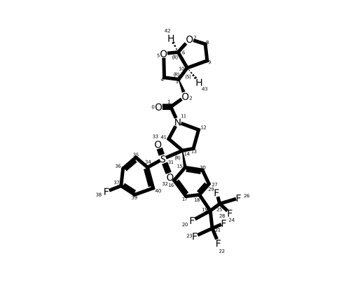 O=C(O[C@H]1CO[C@H]2OCC[C@H]21)N1CC[C@](c2ccc(C(F)(C(F)(F)F)C(F)(F)F)cc2)(S(=O)(=O)c2ccc(F)cc2)C1